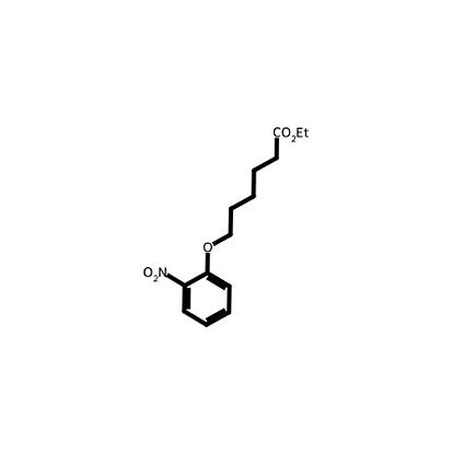 CCOC(=O)CCCCCOc1ccccc1[N+](=O)[O-]